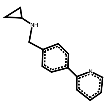 c1ccc(-c2ccc(CNC3CC3)cc2)nc1